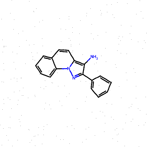 Nc1c(-c2ccccc2)nn2c1ccc1ccccc12